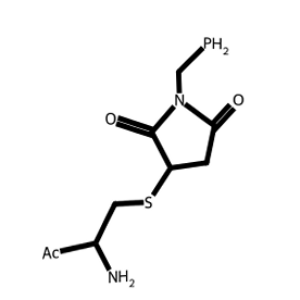 CC(=O)C(N)CSC1CC(=O)N(CP)C1=O